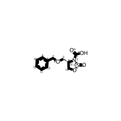 O=C(O)N1[C@@H](COCc2ccccc2)COS1=O